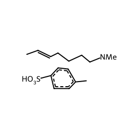 CC=CCCCCNC.Cc1ccc(S(=O)(=O)O)cc1